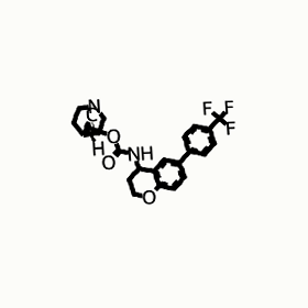 O=C(NC1CCOc2ccc(-c3ccc(C(F)(F)F)cc3)cc21)O[C@H]1CN2CCC1CC2